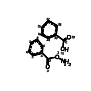 NOC(=O)c1ccccc1.O=C(O)c1ccccc1